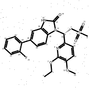 CCOc1nc([C@@H](CS(C)(=O)=O)n2c(=O)[nH]c3cc(-c4ccccc4F)ccc32)ccc1OC